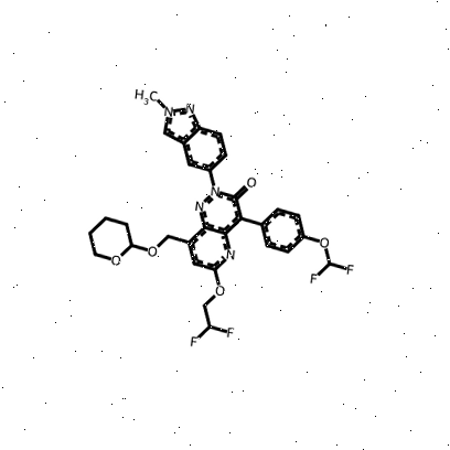 Cn1cc2cc(-n3nc4c(COC5CCCCO5)cc(OCC(F)F)nc4c(-c4ccc(OC(F)F)cc4)c3=O)ccc2n1